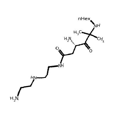 CCCCCCNC(C)(C)C(=O)[C@@H](N)CC(=O)NCCNCCN